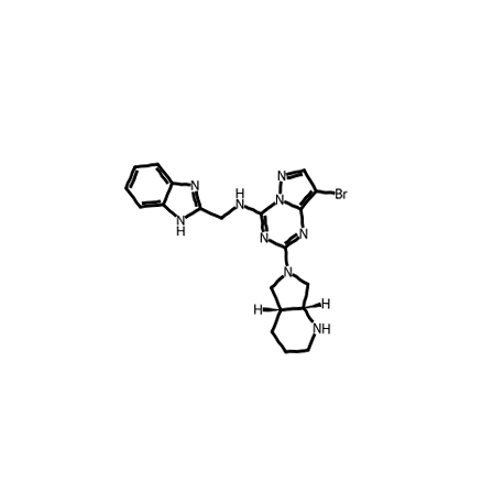 Brc1cnn2c(NCc3nc4ccccc4[nH]3)nc(N3C[C@H]4CCCN[C@H]4C3)nc12